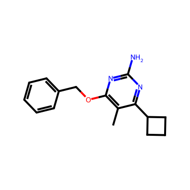 Cc1c(OCc2ccccc2)nc(N)nc1C1CCC1